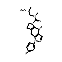 CO[C@H](C)CN(C)C(=O)[C@@H]1CCC2=C1[C@@H](C)c1cnn(-c3ccc(F)cc3)c1C2